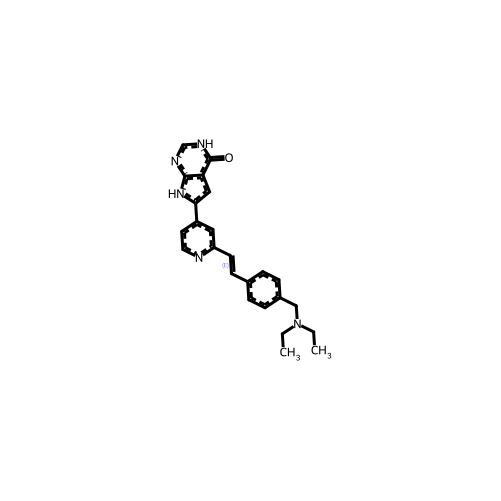 CCN(CC)Cc1ccc(/C=C/c2cc(-c3cc4c(=O)[nH]cnc4[nH]3)ccn2)cc1